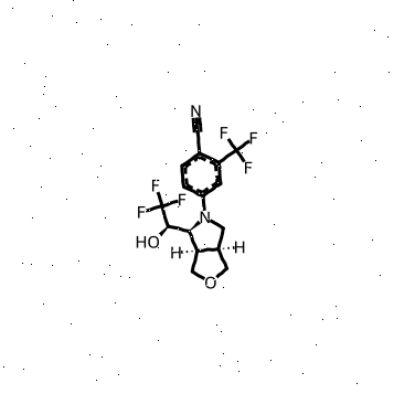 N#Cc1ccc(N2C[C@H]3COC[C@H]3[C@H]2[C@@H](O)C(F)(F)F)cc1C(F)(F)F